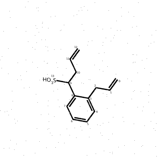 C=CCc1ccccc1C(CC=C)S(=O)(=O)O